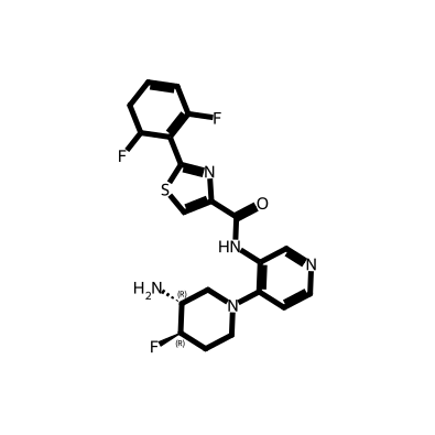 N[C@@H]1CN(c2ccncc2NC(=O)c2csc(C3=C(F)C=CCC3F)n2)CC[C@H]1F